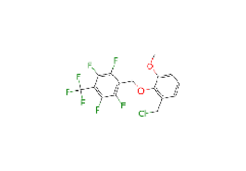 COc1cccc(CCl)c1OCc1c(F)c(F)c(C(F)(F)F)c(F)c1F